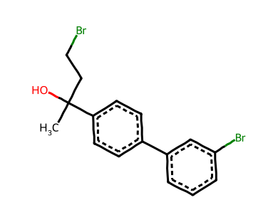 CC(O)(CCBr)c1ccc(-c2cccc(Br)c2)cc1